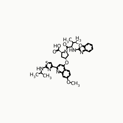 COc1ccc2c(O[C@@H]3C[C@@H](C(=O)O)N(C(=O)[C@@H](Nc4nc5ccccc5o4)C(C)C)C3)cc(-c3csc(NC(C)C)n3)nc2c1